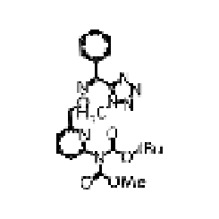 COC(=O)N(C(=O)OC(C)(C)C)c1cccc(CO/N=C(/c2ccccc2)c2nnnn2C)n1